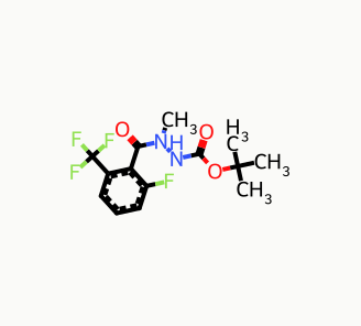 CN(NC(=O)OC(C)(C)C)C(=O)c1c(F)cccc1C(F)(F)F